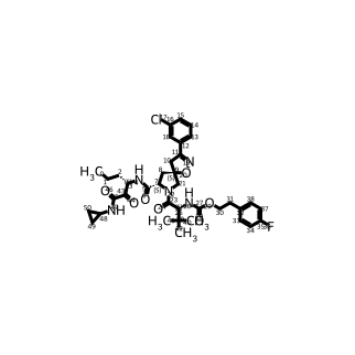 CCC[C@H](NC(=O)[C@@H]1C[C@]2(CC(c3cccc(Cl)c3)=NO2)CN1C(=O)[C@@H](NC(=O)OCCc1ccc(F)cc1)C(C)(C)C)C(=O)C(=O)NC1CC1